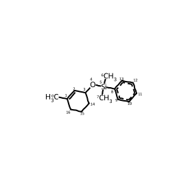 CC1=CC(O[Si](C)(C)c2ccccc2)CCC1